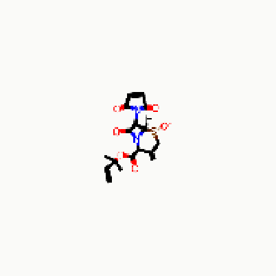 C=CC(C)(C)OC(=O)C1C(=C)C[S+]([O-])[C@H]2C(N3C(=O)C=CC3=O)C(=O)N12